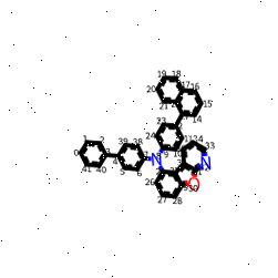 c1ccc(-c2ccc(N(c3ccc(-c4cccc5ccccc45)cc3)c3cccc4oc5ncccc5c34)cc2)cc1